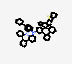 c1ccc(-c2ccc(N(c3ccc4c(c3)-c3ccccc3-c3ccccc3C43c4ccccc4-c4c3ccc3c4sc4ccccc43)c3cccc4c3N(c3ccccc3)c3ccccc3-c3ccccc3-4)cc2)cc1